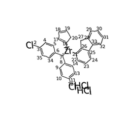 Cl.Cl.Clc1ccc([C](c2ccc(Cl)cc2)=[Zr]([C]2=CC=CC2)[c]2cccc3c2Cc2ccccc2-3)cc1